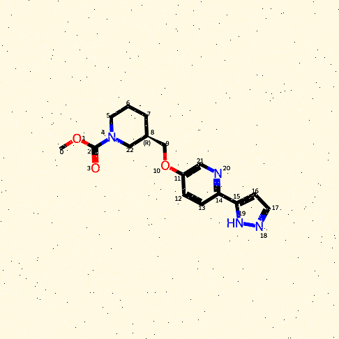 COC(=O)N1CCC[C@@H](COc2ccc(-c3ccn[nH]3)nc2)C1